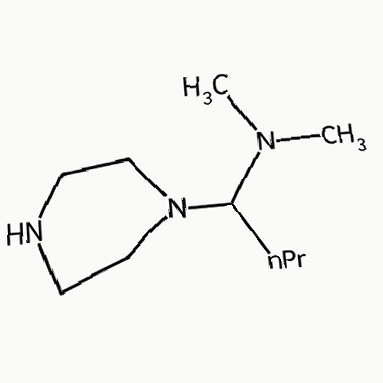 CCCC(N(C)C)N1CCNCC1